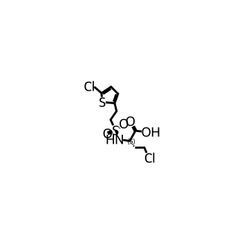 O=C(O)[C@H](CCCl)NS(=O)(=O)CCc1ccc(Cl)s1